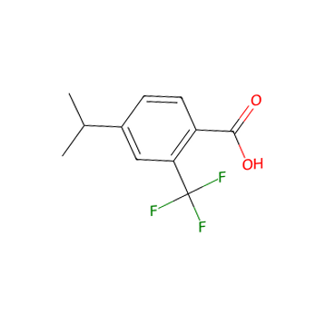 CC(C)c1ccc(C(=O)O)c(C(F)(F)F)c1